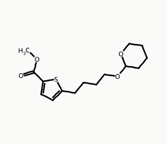 COC(=O)c1ccc(CCCCOC2CCCCO2)s1